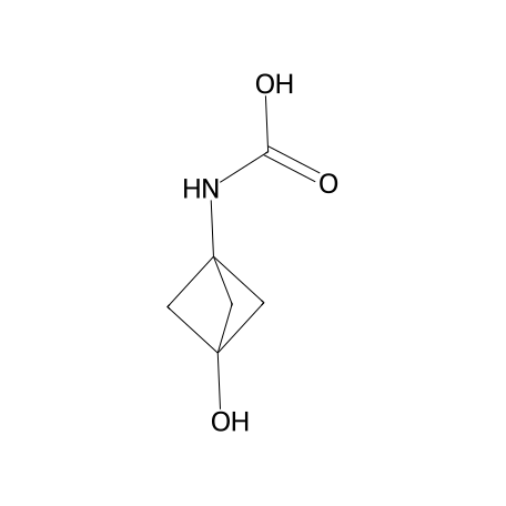 O=C(O)NC12CC(O)(C1)C2